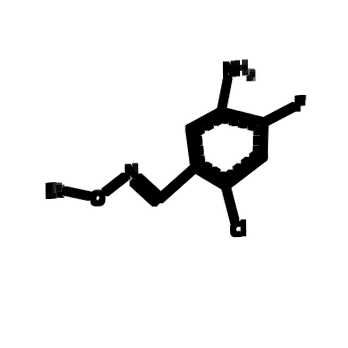 CCON=Cc1cc(N)c(F)cc1Cl